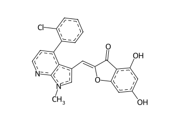 Cn1cc(C=C2Oc3cc(O)cc(O)c3C2=O)c2c(-c3ccccc3Cl)ccnc21